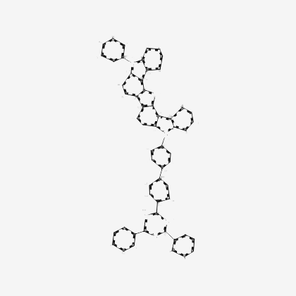 c1ccc(-c2nc(-c3ccccc3)nc(-c3ccc(-c4ccc(-n5c6ccccc6c6c7oc8c(ccc9c8c8ccccc8n9-c8ccccc8)c7ccc65)cc4)cc3)n2)cc1